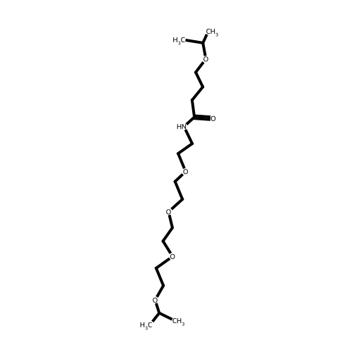 CC(C)OCCCC(=O)NCCOCCOCCOCCOC(C)C